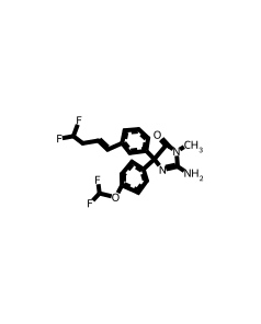 CN1C(=O)C(c2ccc(OC(F)F)cc2)(c2cccc(C=CCC(F)F)c2)N=C1N